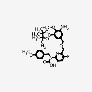 COc1ccc(CN(C(=O)O)c2ccc(F)c(COCc3cc(N)c(OC)c(B4OC(C)(C)C(C)(C)O4)c3)n2)cc1